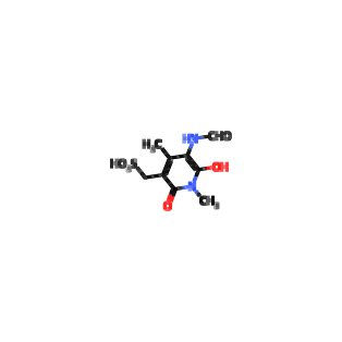 Cc1c(NC=O)c(O)n(C)c(=O)c1CS(=O)(=O)O